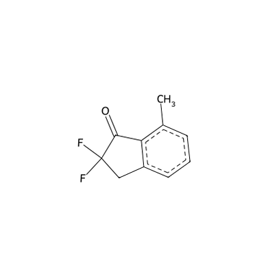 Cc1cccc2c1C(=O)C(F)(F)C2